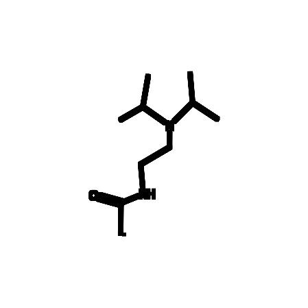 [CH2]C(=O)NCCN(C(C)C)C(C)C